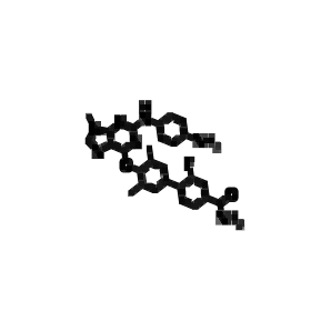 Cc1cc(-c2ccc(C(N)=O)cc2F)cc(C)c1Oc1nc(Nc2ccc(N)cc2)nc2c1ncn2C